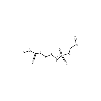 COC(=O)CCCNS(=O)(=O)CCCCl